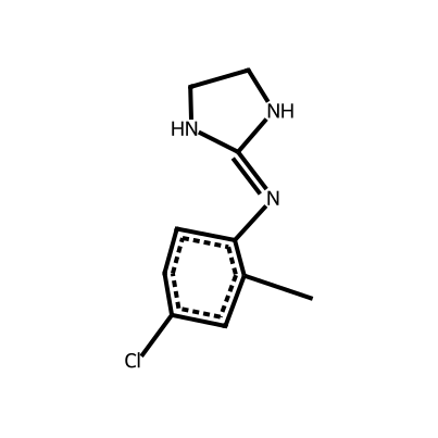 Cc1cc(Cl)ccc1N=C1NCCN1